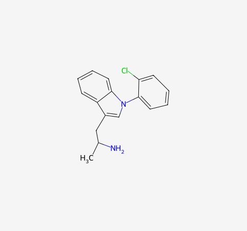 CC(N)Cc1cn(-c2ccccc2Cl)c2ccccc12